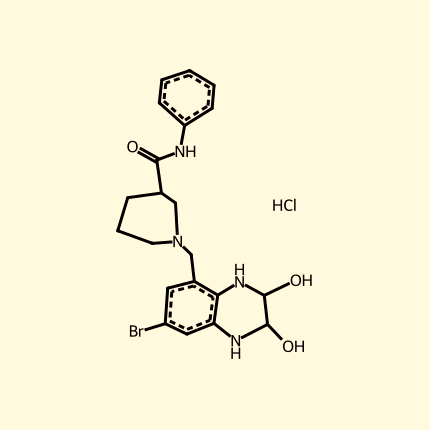 Cl.O=C(Nc1ccccc1)C1CCCN(Cc2cc(Br)cc3c2NC(O)C(O)N3)C1